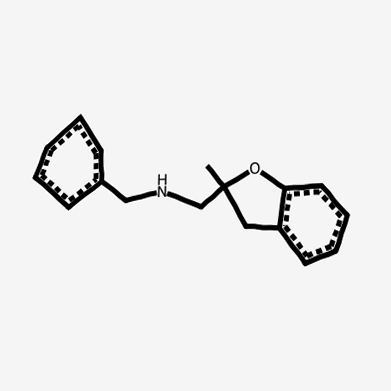 CC1(CNCc2ccccc2)Cc2ccccc2O1